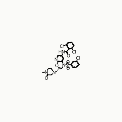 CN1CCN(C[C@H]2CN(S(=O)(=O)c3cccc(Cl)c3)c3cc(NC(=O)c4c(Cl)cccc4Cl)cnc3O2)CC1=O